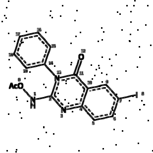 CC(=O)ONc1nc2ccc(I)cc2c(=O)n1-c1ccccc1